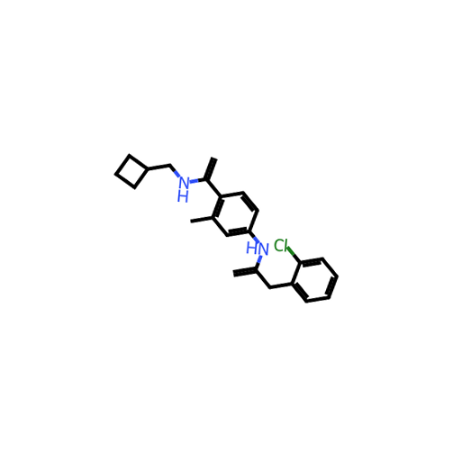 C=C(Cc1ccccc1Cl)Nc1ccc(C(=C)NCC2CCC2)c(C)c1